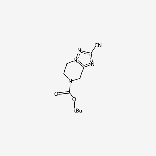 CC(C)(C)OC(=O)N1CCn2nc(C#N)nc2C1